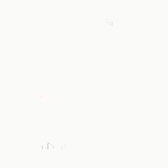 CCCCCC1Cc2ccc(Br)cc2C1=O